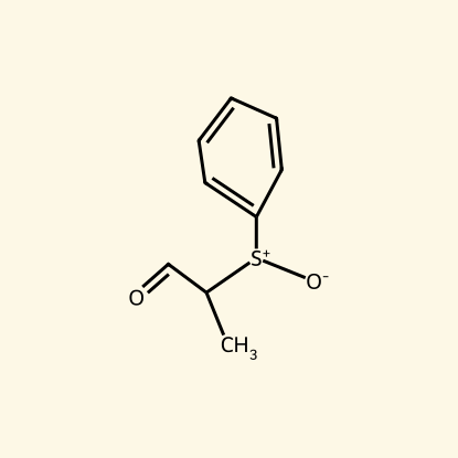 CC(C=O)[S+]([O-])c1ccccc1